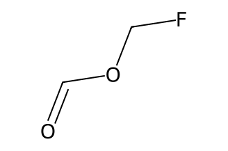 O=COCF